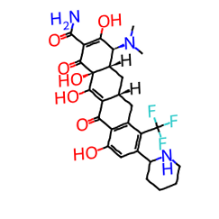 CN(C)[C@@H]1C(O)=C(C(N)=O)C(=O)[C@@]2(O)C(O)=C3C(=O)c4c(O)cc(C5CCCCN5)c(C(F)(F)F)c4C[C@H]3C[C@@H]12